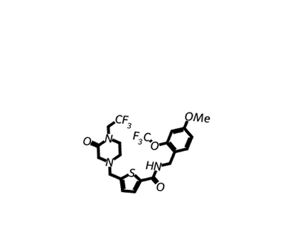 COc1ccc(CNC(=O)c2ccc(CN3CCN(CC(F)(F)F)C(=O)C3)s2)c(OC(F)(F)F)c1